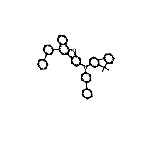 CC1(C)c2ccccc2-c2ccc(N(c3ccc(-c4ccccc4)cc3)c3ccc4c(c3)oc3c5ccccc5c(-c5cccc(-c6ccccc6)c5)cc43)cc21